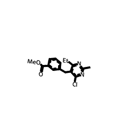 CCc1nc(C)nc(Cl)c1Cc1cccc(C(=O)OC)c1